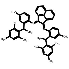 Cc1cc(C)c(C(C)c2cc(C)ccc2/N=C2/C(=N/c3ccc(C)cc3C(C)c3c(C)cc(C)cc3C)c3cccc4cccc2c34)c(C)c1